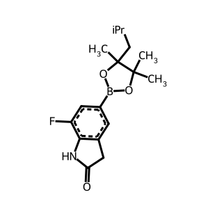 CC(C)CC1(C)OB(c2cc(F)c3c(c2)CC(=O)N3)OC1(C)C